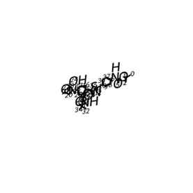 CC(C)OC(=O)Nc1ccc(-c2ncc(-c3ccc(N4CCOC4O)cc3S(=O)(=O)NC(C)(C)C)s2)cc1